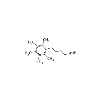 [C]#CCCCCc1c(C)c(C)c(C)c(C)c1C